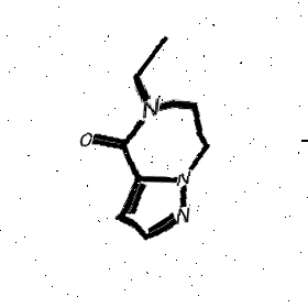 CCN1CCn2nccc2C1=O